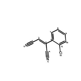 N#C/C=C(\C#N)c1ccccc1Cl